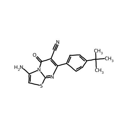 CC(C)(C)c1ccc(-c2nc3scc(N)n3c(=O)c2C#N)cc1